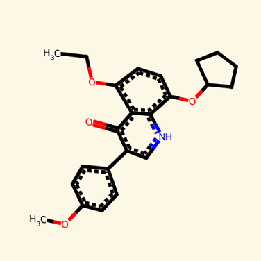 CCOc1ccc(OC2CCCC2)c2[nH]cc(-c3ccc(OC)cc3)c(=O)c12